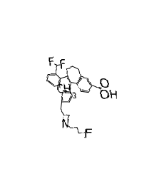 Cc1cccc(C(F)F)c1C1=C(c2ccc(CC3CN(CCCF)C3)cc2)c2ccc(C(=O)O)cc2CCC1